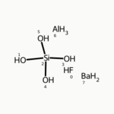 F.O[Si](O)(O)O.[AlH3].[BaH2]